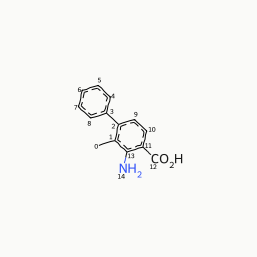 Cc1c(-c2ccccc2)ccc(C(=O)O)c1N